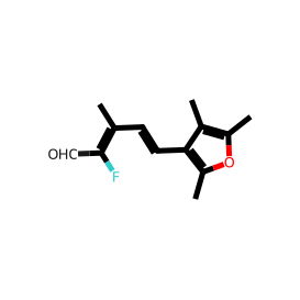 CC(C=Cc1c(C)oc(C)c1C)=C(F)C=O